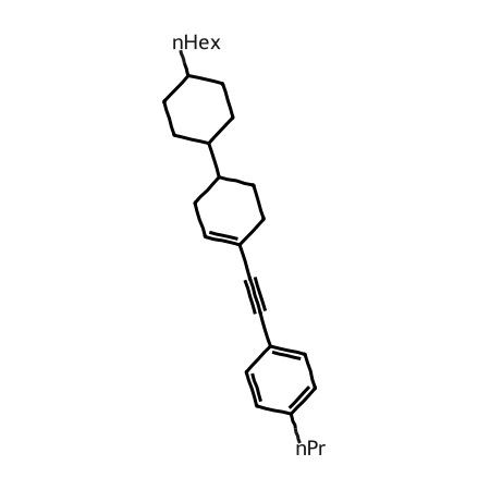 CCCCCCC1CCC(C2CC=C(C#Cc3ccc(CCC)cc3)CC2)CC1